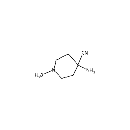 BN1CCC(N)(C#N)CC1